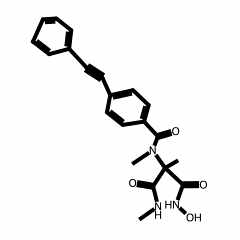 CNC(=O)C(C)(C(=O)NO)N(C)C(=O)c1ccc(C#Cc2ccccc2)cc1